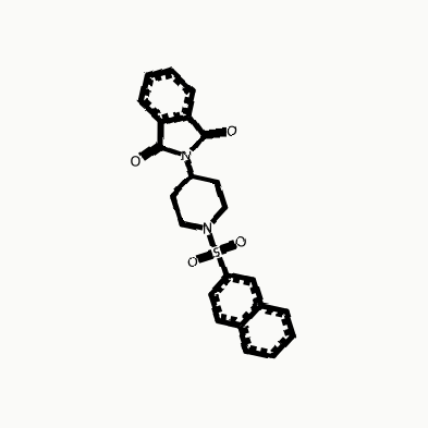 O=C1c2ccccc2C(=O)N1C1CCN(S(=O)(=O)c2ccc3ccccc3c2)CC1